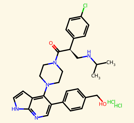 CC(C)NC[C@@H](C(=O)N1CCN(c2c(-c3ccc(CO)cc3)cnc3[nH]ccc23)CC1)c1ccc(Cl)cc1.Cl.Cl